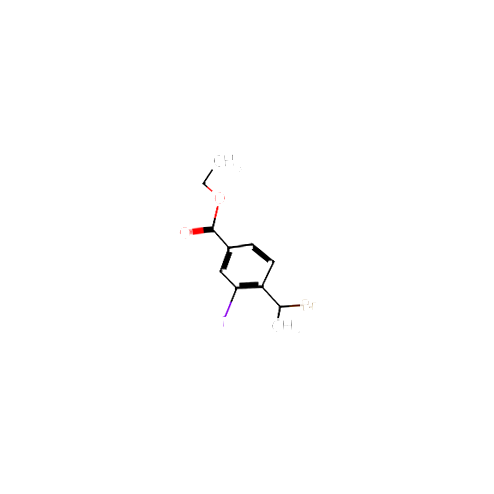 CCOC(=O)c1ccc(C(C)Br)c(I)c1